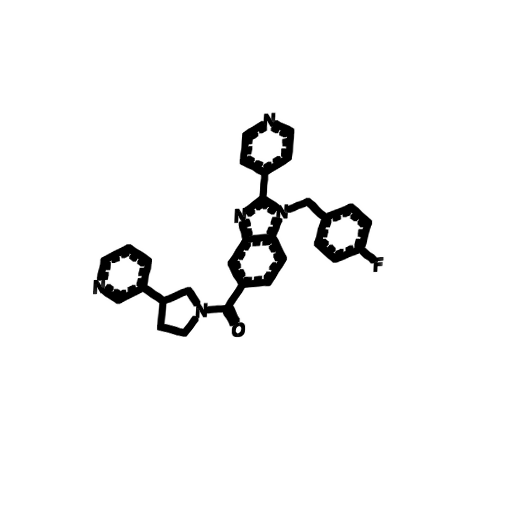 O=C(c1ccc2c(c1)nc(-c1ccncc1)n2Cc1ccc(F)cc1)N1CCC(c2cccnc2)C1